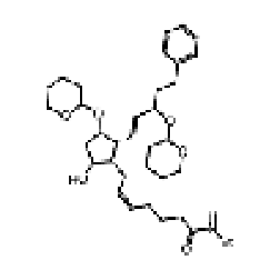 CCNC(=O)CCC/C=C\C[C@@H]1[C@@H](/C=C/C(CCc2ccccc2)OC2CCCCO2)[C@H](OC2CCCCO2)C[C@@H]1O